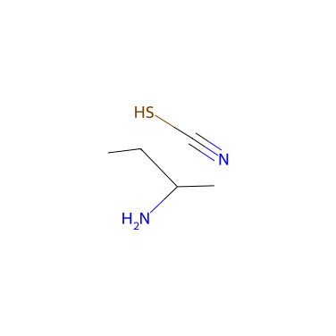 CCC(C)N.N#CS